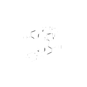 Cc1ccc(S(=O)(=O)N2CCOCC2)cc1-c1cnc(N)c(C(=O)c2ccc(Cl)cc2)n1